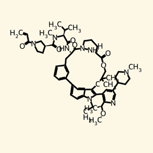 C=CC(=O)N1CC[C@H](C(=O)N(C)[C@H](C(=O)N[C@H]2Cc3cccc(c3)-c3ccc4c(c3)c(c(-c3cc(C5CCN(C)CC5)cnc3[C@H](C)OC)n4CC)CC(C)(C)COC(=O)[C@@H]3CCCN(N3)C2=O)C(C)C)C1